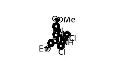 CCOc1cccc(CN2[C@@H]3CCn4c(nc5cc(C(=O)OC)ccc54)[C@@H]3[C@@H](c3cccc(Cl)c3F)[C@@]23C(=O)Nc2cc(Cl)ccc23)c1